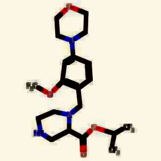 O=C(OC(C(F)(F)F)C(F)(F)F)C1CNCCN1Cc1ccc(N2CCOCC2)cc1OC(F)(F)F